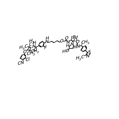 Cc1ncsc1-c1ccc([C@H](C)NC(=O)[C@@H]2C[C@@H](O)CN2C(=O)[C@@H](NC(=O)COCCCCCNc2ccc(C(=O)N[C@H]3C(C)(C)[C@H](Oc4ccc(C#N)c(Cl)c4)C3(C)C)cc2F)C(C)(C)C)cc1